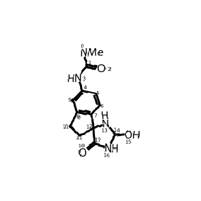 CNC(=O)Nc1ccc2c(c1)CCC21NC(O)NC1=O